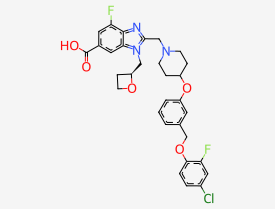 O=C(O)c1cc(F)c2nc(CN3CCC(Oc4cccc(COc5ccc(Cl)cc5F)c4)CC3)n(C[C@@H]3CCO3)c2c1